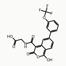 O=C(O)CNC(=O)c1c(=O)oc(O)c2ccc(-c3cccc(OC(F)(F)F)c3)cc12